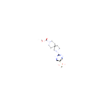 CC(C)(C)OC(=O)N1CCC2(CC1)CCN(c1ncc(S(C)(=O)=O)cn1)C2